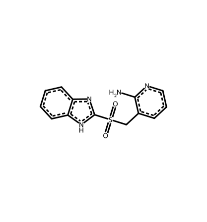 Nc1ncccc1CS(=O)(=O)c1nc2ccccc2[nH]1